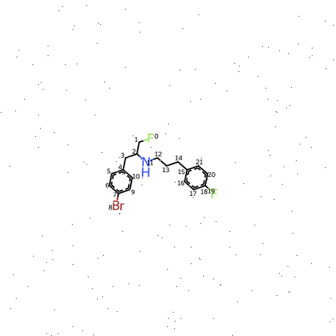 FCC(Cc1ccc(Br)cc1)NCCCc1ccc(F)cc1